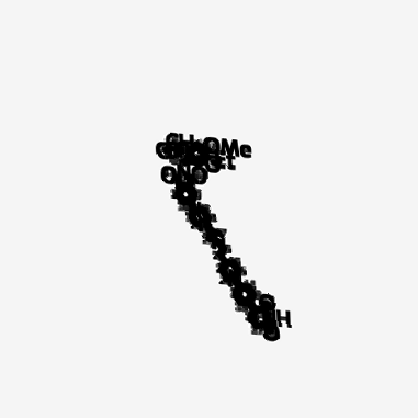 CCOc1cc([C@@H](CS(C)(=O)=O)N2C(=O)c3ccc(N4CCN(C5CN(CCC6CCN(c7ccc(C8CCC(=O)NC8=O)cc7)CC6)C5)CC4)cc3C2=O)ccc1OC